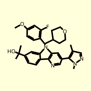 COc1ccc(C(C2CCOCC2)n2c3cc(C(C)(C)O)ccc3c3ncc(-c4c(C)cnn4C)cc32)c(F)c1